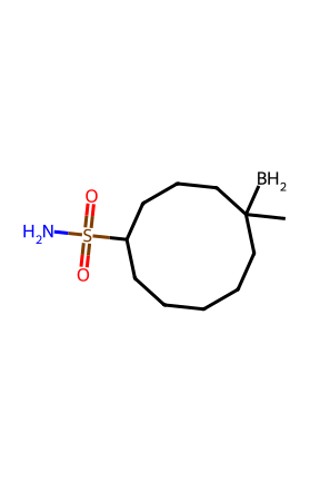 BC1(C)CCCCCC(S(N)(=O)=O)CCC1